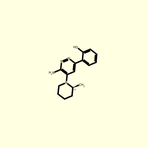 C[C@H]1CCCCN1c1cc(-c2ccccc2O)nnc1N